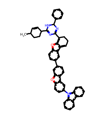 CC1C=CC(C2=NC(C3=c4oc5ccc(-c6ccc7c(c6)oc6ccc(-n8c9ccccc9c9ccccc98)cc67)cc5c4=CCC3)=NC(c3ccccc3)N2)CC1